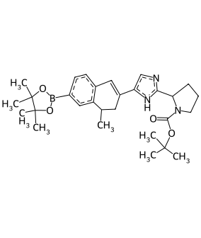 CC1CC(c2cnc(C3CCCN3C(=O)OC(C)(C)C)[nH]2)=Cc2ccc(B3OC(C)(C)C(C)(C)O3)cc21